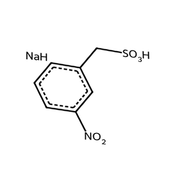 O=[N+]([O-])c1cccc(CS(=O)(=O)O)c1.[NaH]